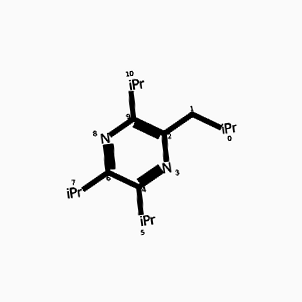 CC(C)Cc1nc(C(C)C)c(C(C)C)nc1C(C)C